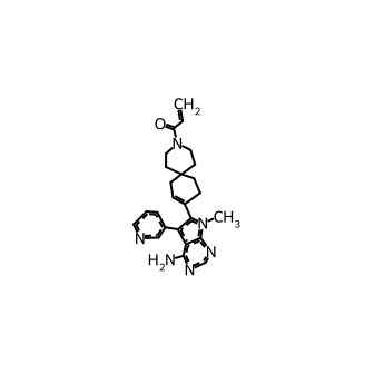 C=CC(=O)N1CCC2(CC=C(c3c(-c4cccnc4)c4c(N)ncnc4n3C)CC2)CC1